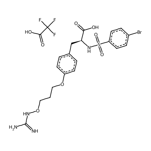 N=C(N)NOCCCOc1ccc(C[C@H](NS(=O)(=O)c2ccc(Br)cc2)C(=O)O)cc1.O=C(O)C(F)(F)F